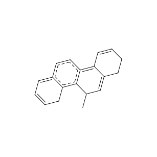 CC1C=C2CCC=CC2=c2ccc3c(c21)CC=CC=3